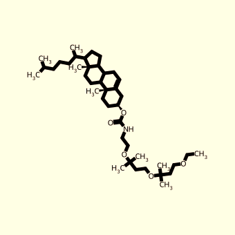 CCOCCC(C)(C)OCCC(C)(C)OCCNC(=O)O[C@H]1CC[C@@]2(C)C(=CCC3C4CCC(C(C)CCCC(C)C)[C@@]4(C)CCC32)C1